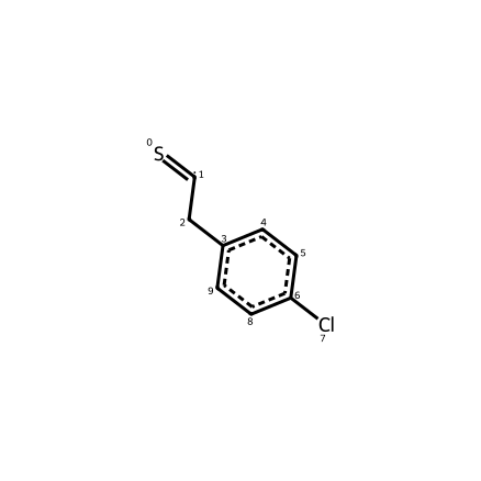 S=[C]Cc1ccc(Cl)cc1